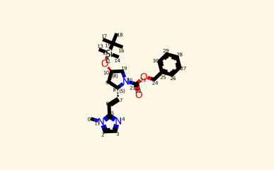 Cn1ccnc1C=C[C@@H]1C[C@@H](O[Si](C)(C)C(C)(C)C)CN1C(=O)OCc1ccccc1